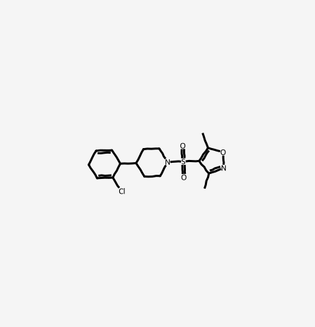 Cc1noc(C)c1S(=O)(=O)N1CCC(C2C=CCC=C2Cl)CC1